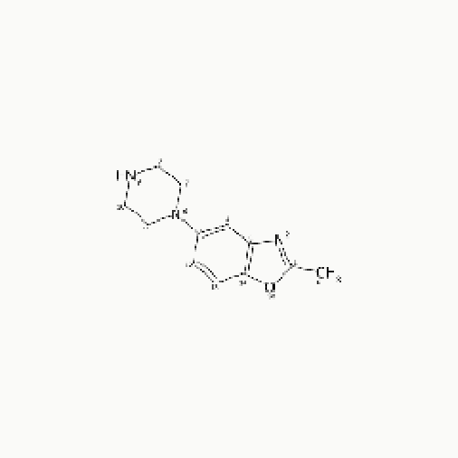 Cc1nc2cc(N3CCNCC3)ccc2o1